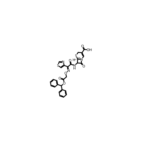 O=C(CON=C(C(=O)NC1C(=O)N2C=C(C(=O)O)CS[C@H]12)c1cscn1)OC(c1ccccc1)c1ccccc1